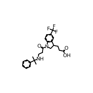 CC(C)(NCCC(=O)N1CC(CCC(=O)O)c2cc(C(F)(F)F)ccc21)c1ccccc1